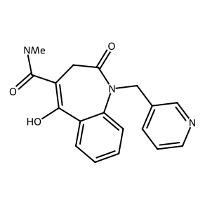 CNC(=O)C1=C(O)c2ccccc2N(Cc2cccnc2)C(=O)C1